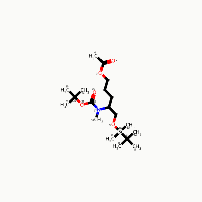 CC(=O)OCCCC(CO[Si](C)(C)C(C)(C)C)N(C)C(=O)OC(C)(C)C